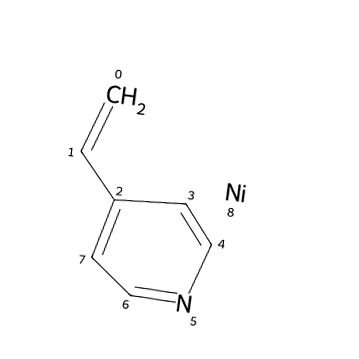 C=Cc1ccncc1.[Ni]